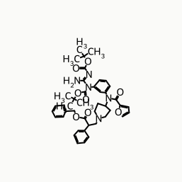 CC(C)(C)OC(=O)N=C(N)N(C(=O)OC(C)(C)C)c1cccc(N(C(=O)c2ccco2)C2CCN(CC(C(=O)OCc3ccccc3)c3ccccc3)CC2)c1